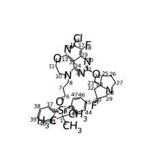 CC(C)(C)[Si](OCCCN1CCOc2nc(Cl)c(F)c3nc(OC[C@@]45CCCN4C[C@H](F)C5)nc1c23)(c1ccccc1)c1ccccc1